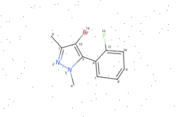 Cc1nn(C)c(-c2ccccc2F)c1Br